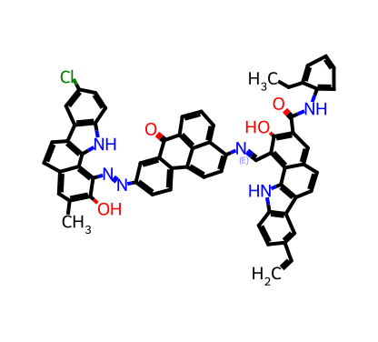 C=Cc1ccc2[nH]c3c(ccc4cc(C(=O)Nc5ccccc5CC)c(O)c(/C=N/c5ccc6c7c(cccc57)C(=O)c5cc(N=Nc7c(O)c(C)cc8ccc9c%10cc(Cl)ccc%10[nH]c9c78)ccc5-6)c43)c2c1